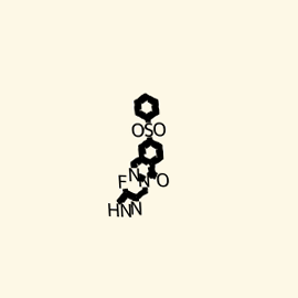 O=c1c2ccc(S(=O)(=O)c3ccccc3)cc2cnn1Cc1n[nH]cc1F